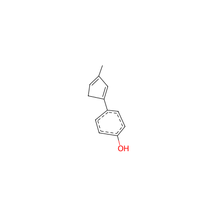 CC1=CCC(c2ccc(O)cc2)=C1